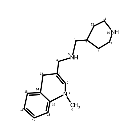 CN1C=C(CNCC2CCNCC2)Cc2ccccc21